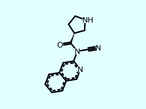 N#CN(C(=O)[C@H]1CCNC1)c1cc2ccccc2cn1